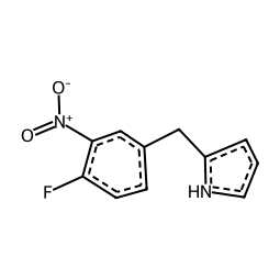 O=[N+]([O-])c1cc(Cc2ccc[nH]2)ccc1F